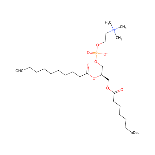 CCCCCCCCCCCCCCCC(=O)OC[C@H](COP(=O)([O-])OCC[N+](C)(C)C)OC(=O)CCCCCCCCC=O